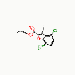 CCOC(=O)c1oc2c(Br)ccc(Cl)c2c1C